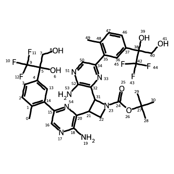 Cc1ccc(C(O)(CO)C(F)(F)F)cc1-c1cnc(N)c(C2CN(C(=O)OC(C)(C)C)C2c2nc(-c3cc(C(O)(CO)C(F)(F)F)ccc3C)cnc2N)n1